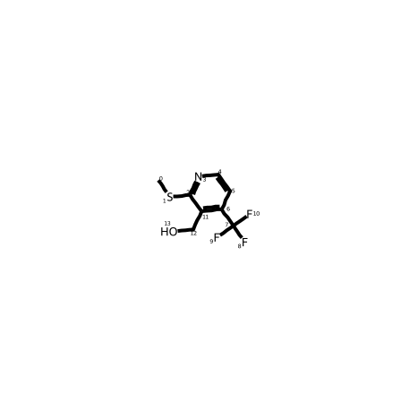 CSc1nccc(C(F)(F)F)c1CO